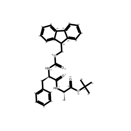 C[C@H](NC(=O)[C@@H](Cc1ccccc1)NC(=O)OCC1c2ccccc2-c2ccccc21)C(=O)OC(C)(C)C